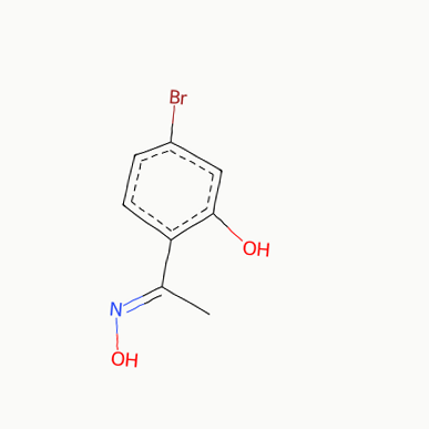 C/C(=N\O)c1ccc(Br)cc1O